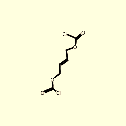 O=C(Cl)OCC=CCOC(=O)Cl